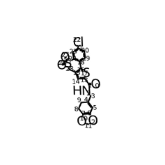 O=C(NCC1=CC2=C(CC1)OCO2)c1cc2c(s1)-c1ccc(Cl)cc1S(=O)(=O)C2